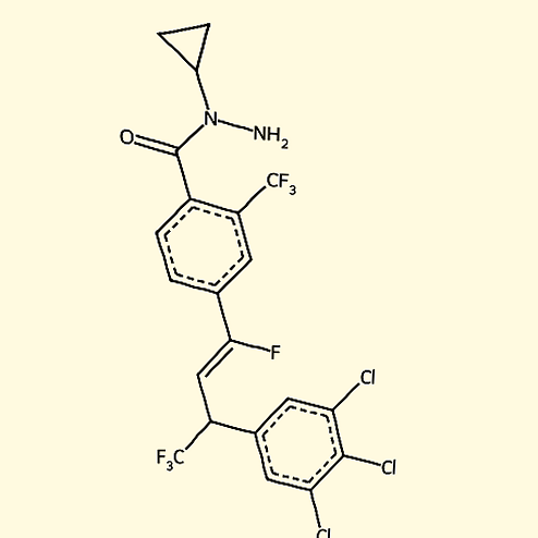 NN(C(=O)c1ccc(C(F)=CC(c2cc(Cl)c(Cl)c(Cl)c2)C(F)(F)F)cc1C(F)(F)F)C1CC1